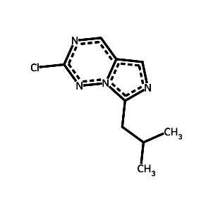 CC(C)Cc1ncc2cnc(Cl)nn12